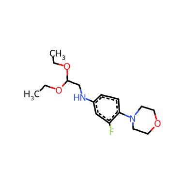 CCOC(CNc1ccc(N2CCOCC2)c(F)c1)OCC